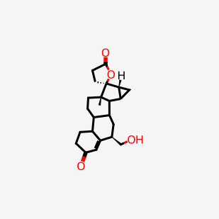 C[C@]12CCC3C4CCC(=O)C=C4[C@H](CO)CC3C1C1C[C@H]1[C@@]21CCC(=O)O1